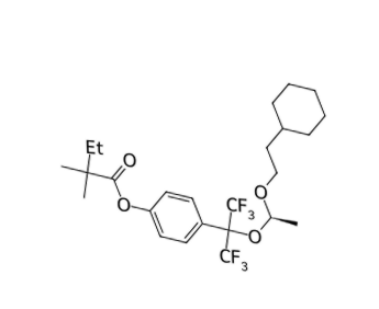 CCC(C)(C)C(=O)Oc1ccc(C(O[C@H](C)OCCC2CCCCC2)(C(F)(F)F)C(F)(F)F)cc1